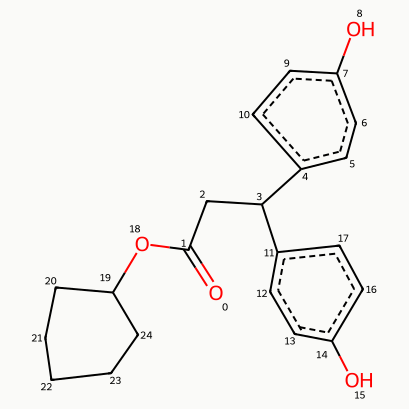 O=C(CC(c1ccc(O)cc1)c1ccc(O)cc1)OC1CCCCC1